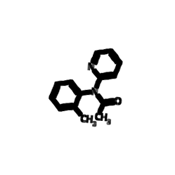 CC(=O)N(c1ccccn1)c1ccccc1C